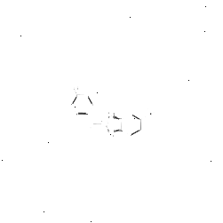 CC(C)(C)c1ccc2nn(Cc3ccc(O)cc3)nc2c1